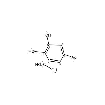 CC(=O)c1ccc(O)c(O)c1.O=S(=O)(O)O